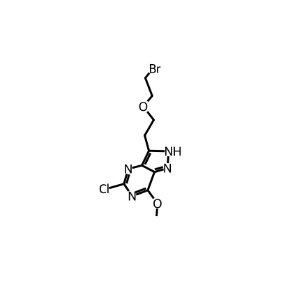 COc1nc(Cl)nc2c(CCOCCBr)[nH]nc12